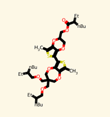 CCCCC(CC)COCC1(COCC(CC)CCCC)COc2c(C)sc(-c3sc(C)c4c3OCC(COC(=O)C(CC)CCCC)O4)c2OC1